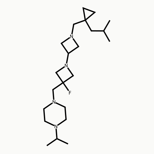 CC(C)CC1(CN2CC(N3CC(F)(CN4CCN(C(C)C)CC4)C3)C2)CC1